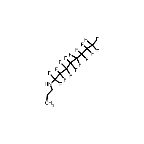 CCCNC(F)(F)C(F)(F)C(F)(F)C(F)(F)C(F)(F)C(F)(F)C(F)(F)C(F)(F)F